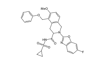 COc1ccc2c(c1COc1ccccc1)CC(C(=O)NS(=O)(=O)C1CC1)N(c1nc3ccc(F)cc3o1)C2